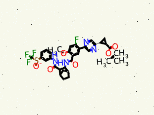 COc1cc(F)c(-c2cnc([C@@H]3CC3C(=O)OC(C)(C)C)cn2)cc1C(=O)NC1C2CCC(C2)C1C(=O)Nc1cccc([S+]([O-])C(F)(F)F)c1